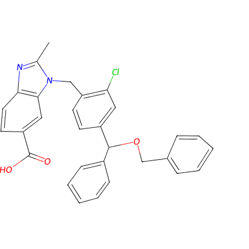 Cc1nc2ccc(C(=O)O)cc2n1Cc1ccc(C(OCc2ccccc2)c2ccccc2)cc1Cl